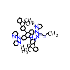 C=C/C=C\C=C(/N)N(c1ccc2c(-c3ccc4c(c3)C(C)(C)c3ccccc3-4)c3cc(N(c4ccccn4)c4ccccn4)ccc3c(-c3ccc4c(c3)C(C)(C)c3ccccc3-4)c2c1)c1ccccn1